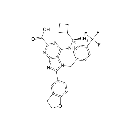 C[C@@H](Nc1nc(C(=O)O)nc2nc(-c3ccc4c(c3)CCO4)n(Cc3ccc(C(F)(F)F)cc3)c12)C1CCC1